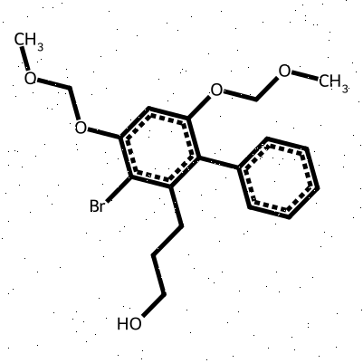 COCOc1cc(OCOC)c(-c2ccccc2)c(CCCO)c1Br